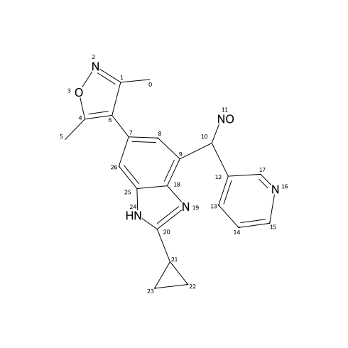 Cc1noc(C)c1-c1cc(C(N=O)c2cccnc2)c2nc(C3CC3)[nH]c2c1